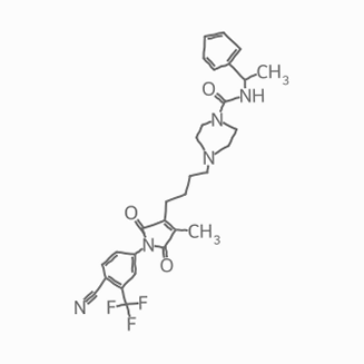 CC1=C(CCCCN2CCN(C(=O)NC(C)c3ccccc3)CC2)C(=O)N(c2ccc(C#N)c(C(F)(F)F)c2)C1=O